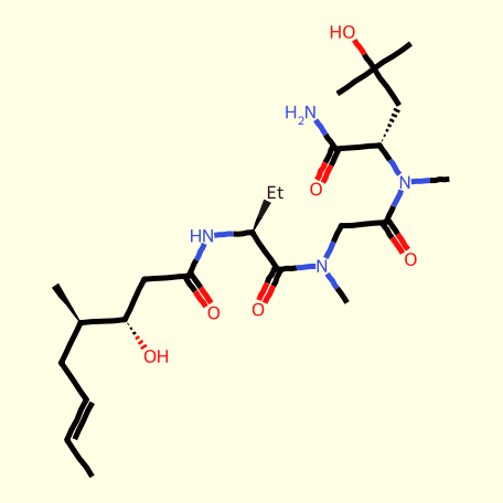 C/C=C/C[C@@H](C)[C@@H](O)CC(=O)N[C@@H](CC)C(=O)N(C)CC(=O)N(C)[C@@H](CC(C)(C)O)C(N)=O